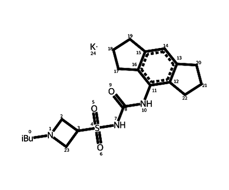 CCC(C)N1CC(S(=O)(=O)NC(=O)Nc2c3c(cc4c2CCC4)CCC3)C1.[K]